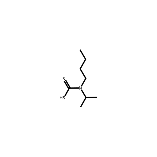 CCCCN(C(=S)S)C(C)C